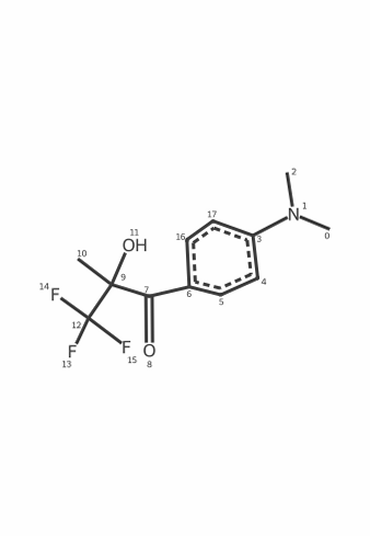 CN(C)c1ccc(C(=O)C(C)(O)C(F)(F)F)cc1